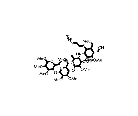 COCC1C(SCCN=[N+]=[N-])[C@@H](N[C@H]2C(C)O[C@@H](O[C@H]3C(COC)O[C@@H](O[C@H]4C(COC)OC(OC)C(OC)[C@@H]4OC)C(OC)[C@@H]3OC)C(OC)[C@@H]2OC)C(OC)[C@H](OC)[C@H]1CO